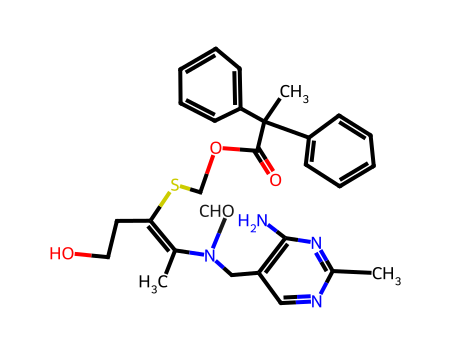 CC(=C(CCO)SCOC(=O)C(C)(c1ccccc1)c1ccccc1)N(C=O)Cc1cnc(C)nc1N